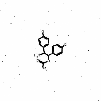 NC(=O)OC(c1ccc(Cl)cc1)C(N)c1ccc(Cl)cc1